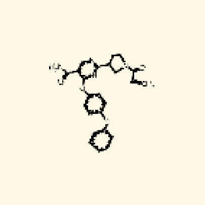 C=CC(=O)N1CCC(c2ncc(C(N)=O)c(Oc3ccc(Oc4ccccc4)cc3)n2)C1